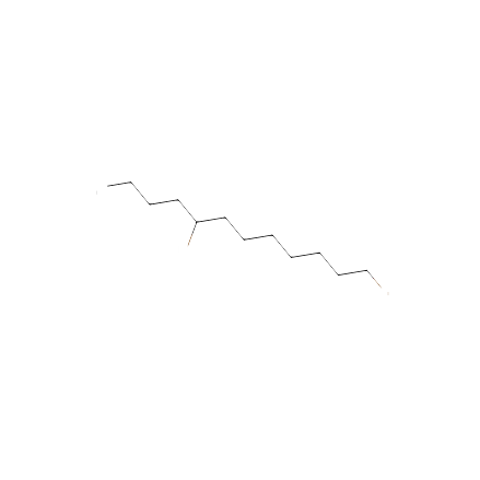 CCCCC(Br)CCCCCCCBr